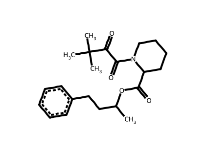 CC(CCc1ccccc1)OC(=O)C1CCCCN1C(=O)C(=O)C(C)(C)C